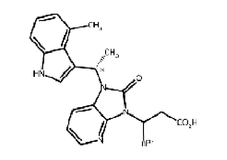 CCCC(CC(=O)O)n1c(=O)n([C@@H](C)c2c[nH]c3cccc(C)c23)c2cccnc21